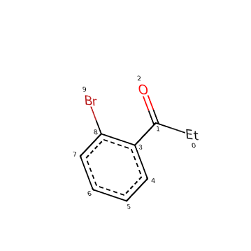 [CH2]CC(=O)c1ccccc1Br